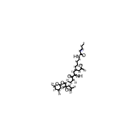 CC/C=C/C(=O)NCCCC[C@H](CC(=N)C(=O)[C@H](C)CC[C@@H](O[C@H]1C[C@@H](C)C[C@@H](C)O1)C(C)(O)CC(C)C)CC(C)=O